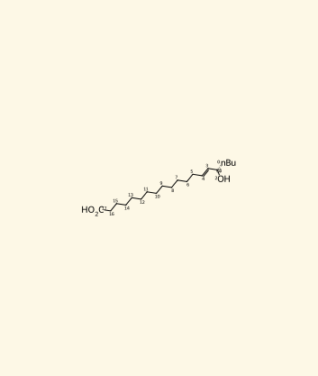 CCCC[C@H](O)C=CCCCCCCCCCCCCC(=O)O